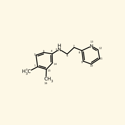 Cc1ccc(NCCc2ccccn2)cc1C